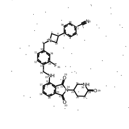 N#Cc1ccc(C2CN(Cc3ccc(CNc4cccc5c4C(=O)N(C4CCC(=O)NC4)C5=O)c(F)c3)C2)cc1